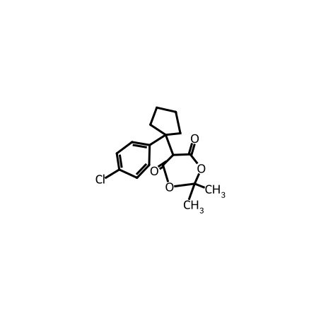 CC1(C)OC(=O)C(C2(c3ccc(Cl)cc3)CCCC2)C(=O)O1